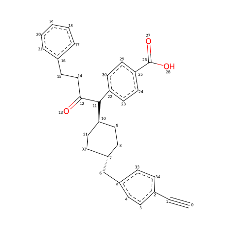 C#Cc1ccc(C[C@H]2CC[C@H](C(C(=O)CCc3ccccc3)c3ccc(C(=O)O)cc3)CC2)cc1